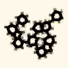 c1ccc(-c2cccc(-c3ccc4oc5cccc(-c6nc(-c7ccccc7)nc(-c7cccc8c7sc7c(-c9ccccc9)cccc78)n6)c5c4c3)c2)cc1